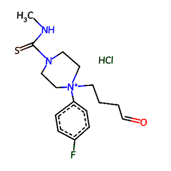 CNC(=S)N1CC[N+](CCCC=O)(c2ccc(F)cc2)CC1.Cl